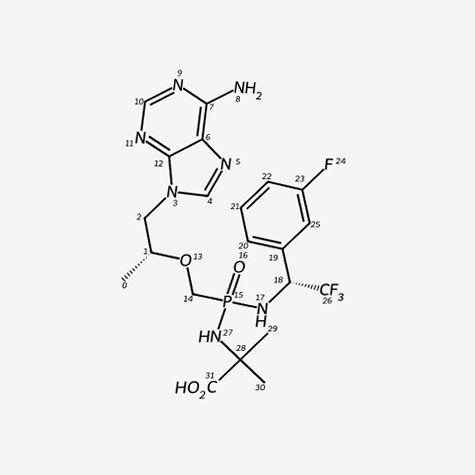 C[C@H](Cn1cnc2c(N)ncnc21)OCP(=O)(N[C@H](c1cccc(F)c1)C(F)(F)F)NC(C)(C)C(=O)O